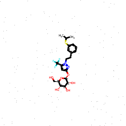 CC(C)Sc1cccc(CCn2nc(O[C@@H]3O[C@H](CO)[C@@H](O)[C@H](O)[C@H]3O)cc2C(F)(F)F)c1